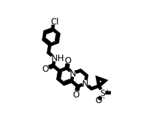 C[S+]([O-])C1(CN2CCn3c(ccc(C(=O)NCc4ccc(Cl)cc4)c3=O)C2=O)CC1